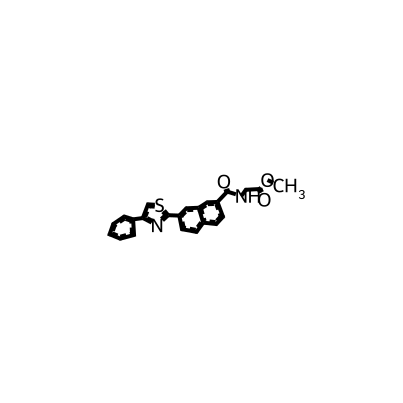 COC(=O)CNC(=O)c1ccc2ccc(-c3nc(-c4ccccc4)cs3)cc2c1